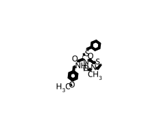 COc1ccc(CNC(=O)[C@H](CSCC2CCCCC2)NC(=O)C2SCCN2C(C)=O)cc1